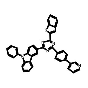 c1ccc(-n2c3ccccc3c3cc(-c4nc(-c5ccc(-c6cccnc6)cc5)nc(-c5cc6ccccc6s5)n4)ccc32)cc1